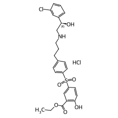 CCOC(=O)c1cc(S(=O)(=O)c2ccc(CCCNC[C@H](O)c3cccc(Cl)c3)cc2)ccc1O.Cl